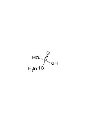 O=P(O)(O)O.[InH3]